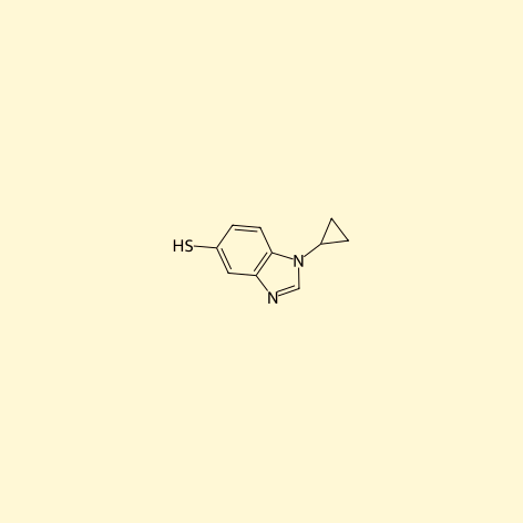 Sc1ccc2c(c1)ncn2C1CC1